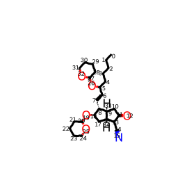 CCCCCC(C=C[C@@H]1[C@H]2CC(=O)C(C#N)[C@@H]2C[C@H]1OC1CCCCO1)OC1CCCCO1